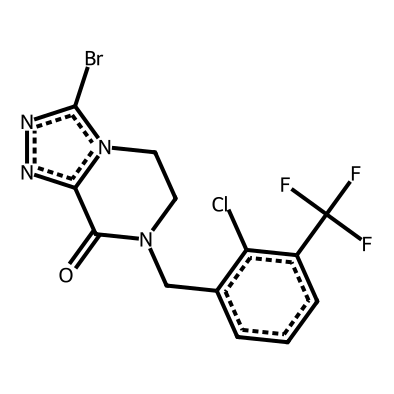 O=C1c2nnc(Br)n2CCN1Cc1cccc(C(F)(F)F)c1Cl